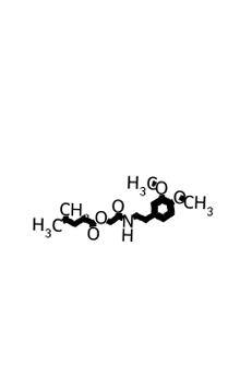 COc1ccc(CCNC(=O)COC(=O)CCC(C)C)cc1OC